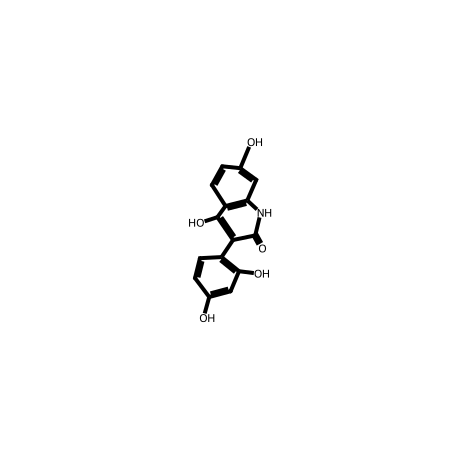 O=c1[nH]c2cc(O)ccc2c(O)c1-c1ccc(O)cc1O